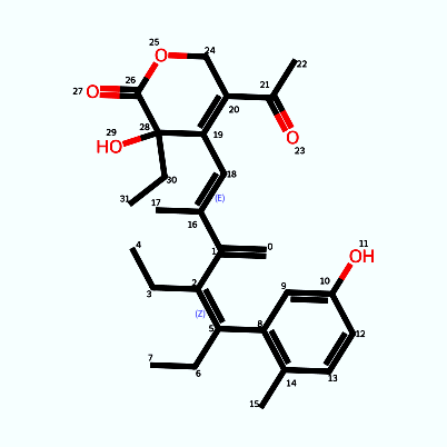 C=C(/C(CC)=C(/CC)c1cc(O)ccc1C)/C(C)=C/C1=C(C(C)=O)COC(=O)C1(O)CC